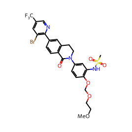 COCCOCOc1ccc(N2CCc3cc(-c4ncc(C(F)(F)F)cc4Br)ccc3C2=O)cc1NS(C)(=O)=O